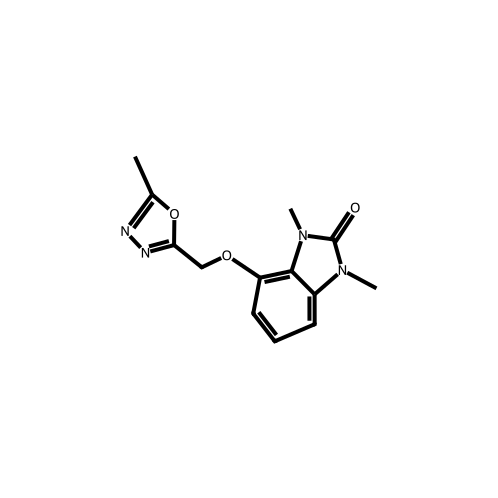 Cc1nnc(COc2cccc3c2n(C)c(=O)n3C)o1